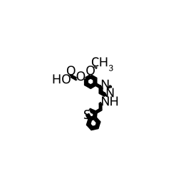 CCOc1cc(-c2cc(NCCc3csc4ccccc34)ncn2)ccc1OCC(=O)O